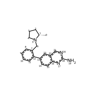 C[C@H]1CCCN1Cc1ccccc1-c1ccc2nc(N)ncc2c1